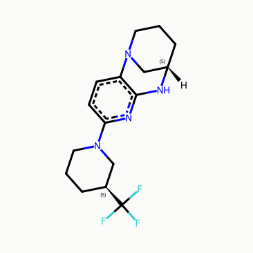 FC(F)(F)[C@H]1CCCN(c2ccc3c(n2)N[C@H]2CCCN3C2)C1